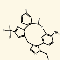 CCn1ncc2c1-c1cnc(N)c(c1)OC(C)c1cc(C)ccc1-n1nc(C(F)(F)F)cc1C2